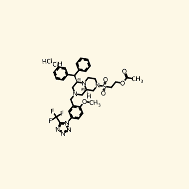 COc1ccc(-n2nnnc2C(F)(F)F)cc1CN1C[C@@H]2CN(S(=O)(=O)CCOC(C)=O)CCN2[C@H](C(c2ccccc2)c2ccccc2)C1.Cl.Cl